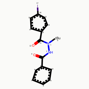 CC(C)(C)N(NC(=O)c1ccccc1)C(=O)c1ccc(I)cc1